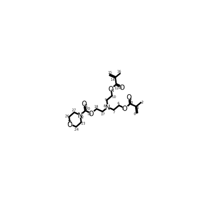 C=C(C)C(=O)OCCN(CCOC(=O)C(=C)C)CCOC(=O)N1CCOCC1